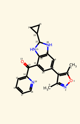 Cc1noc(C)c1-c1cc2c(c(C(=O)c3ccccn3)c1)NC(C1CC1)N2